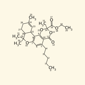 CCCCCc1cc2c(c3c1C(=O)OC(C)(C(=O)OCC)O3)C1C=C(C)CCC1C(C)(C)O2